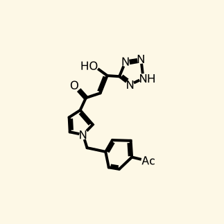 CC(=O)c1ccc(Cn2ccc(C(=O)C=C(O)c3nn[nH]n3)c2)cc1